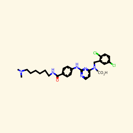 CN(C)CCCCCCNC(=O)c1ccc(Nc2nccc(N(Cc3cc(Cl)ccc3Cl)C(=O)O)n2)cc1